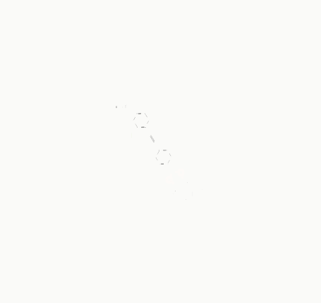 CCCCCc1ccc(C#Cc2ccc(C3O[C@@H](C(=O)O)[C@H](C(=O)O)O3)cc2)c(F)c1F